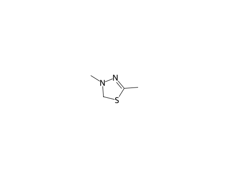 CC1=NN(C)CS1